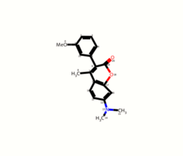 COc1cccc(-c2c(C)c3ccc(N(C)C)cc3oc2=O)c1